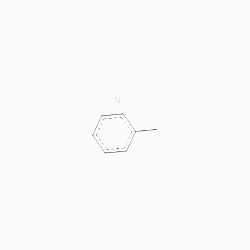 Cc1ccccc1.[N]